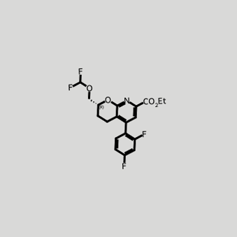 CCOC(=O)c1cc(-c2ccc(F)cc2F)c2c(n1)O[C@@H](COC(F)F)CC2